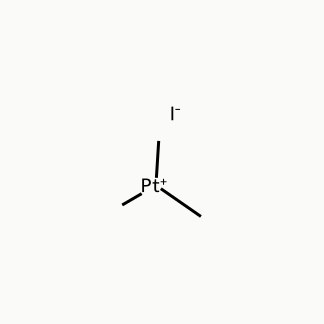 [CH3][Pt+]([CH3])[CH3].[I-]